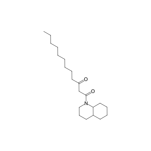 CCCCCCCCCC(=O)CC(=O)N1CCCC2CCCCC21